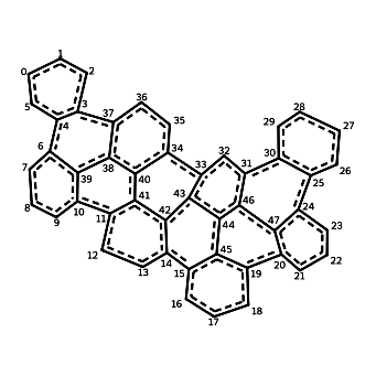 c1ccc2c(c1)c1cccc3c4ccc5c6cccc7c8cccc9c%10ccccc%10c%10cc%11c%12ccc2c(c13)c%12c4c5c%11c(c76)c%10c98